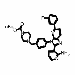 CCCCOC(=O)N1CCN(Cc2ccc(-n3c(-c4cccnc4N)nc4ccc(-c5cccc(F)c5)nc43)cc2)CC1